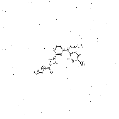 Cc1cn(-c2cccc(N3CC(C(=O)NCC(F)(F)F)C3)c2)c2ccc(C(F)(F)F)cc12